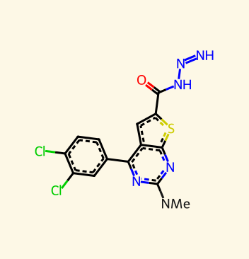 CNc1nc(-c2ccc(Cl)c(Cl)c2)c2cc(C(=O)NN=N)sc2n1